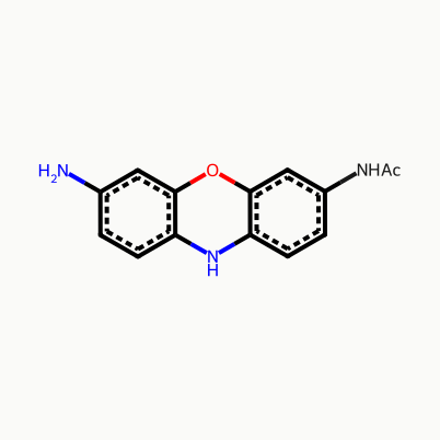 CC(=O)Nc1ccc2c(c1)Oc1cc(N)ccc1N2